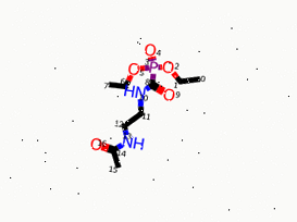 CCOP(=O)(OCC)C(=O)NCCNC(C)=O